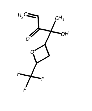 C=CC(=O)C(C)(O)C1CC(C(F)(F)F)O1